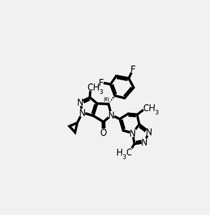 Cc1nn(C2CC2)c2c1[C@H](c1ccc(F)cc1F)N(c1cc(C)c3nnc(C)n3c1)C2=O